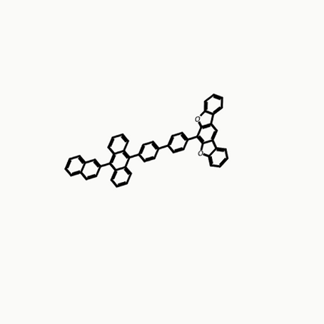 c1ccc2cc(-c3c4ccccc4c(-c4ccc(-c5ccc(-c6c7oc8ccccc8c7cc7c6oc6ccccc67)cc5)cc4)c4ccccc34)ccc2c1